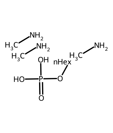 CCCCCCOP(=O)(O)O.CN.CN.CN